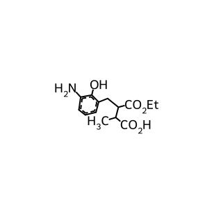 CCOC(=O)C(Cc1cccc(N)c1O)C(C)C(=O)O